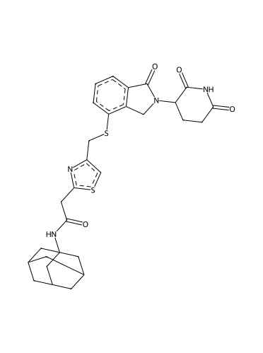 O=C1CCC(N2Cc3c(SCc4csc(CC(=O)NC56CC7CC(CC(C7)C5)C6)n4)cccc3C2=O)C(=O)N1